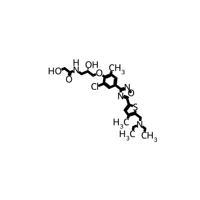 CCN(CC)Cc1sc(-c2nc(-c3cc(C)c(OC[C@@H](O)CNC(=O)CO)c(Cl)c3)no2)cc1C